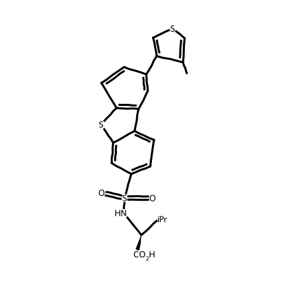 Cc1cscc1-c1ccc2sc3cc(S(=O)(=O)N[C@H](C(=O)O)C(C)C)ccc3c2c1